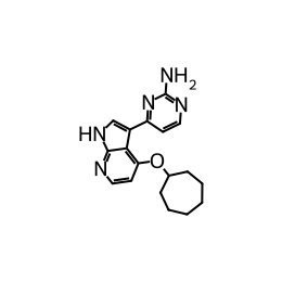 Nc1nccc(-c2c[nH]c3nccc(OC4CCCCCC4)c23)n1